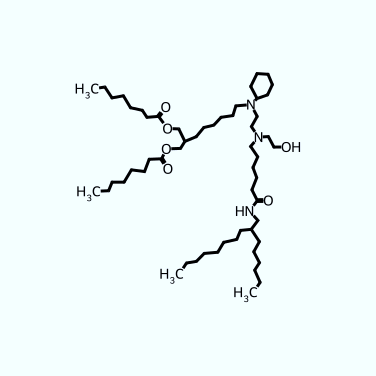 CCCCCCCCC(CCCCCC)CNC(=O)CCCCCN(CCO)CCN(CCCCCCC(COC(=O)CCCCCCC)COC(=O)CCCCCCC)C1CCCCC1